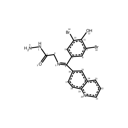 NNC(=O)CN=C(c1cc(Br)c(O)c(Br)c1)c1ccc2ncccc2c1